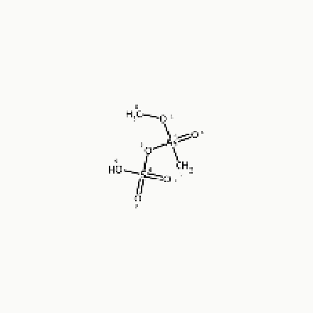 CO[As](C)(=O)OS(=O)(=O)O